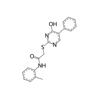 Cc1ccccc1NC(=O)CSc1ncc(-c2ccccc2)c(O)n1